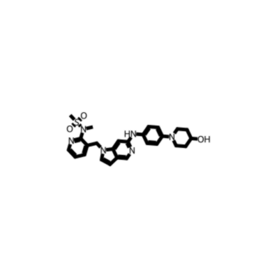 CN(c1ncccc1Cn1ccc2cnc(Nc3ccc(N4CCC(O)CC4)cc3)cc21)S(C)(=O)=O